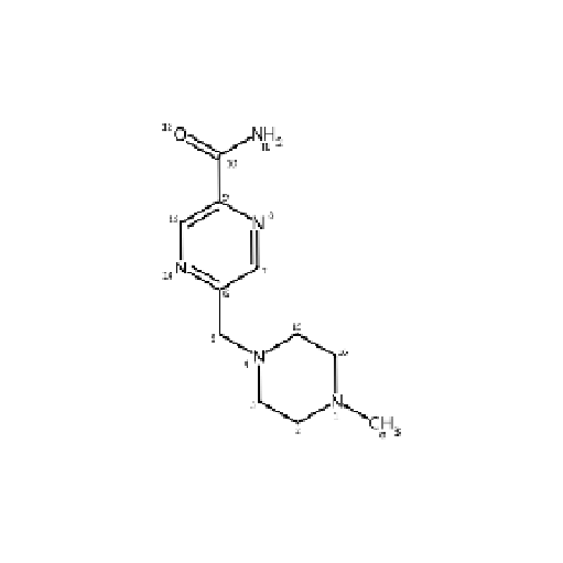 CN1CCN(Cc2cnc(C(N)=O)cn2)CC1